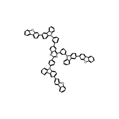 c1cc(-c2ccc3nc(-c4ccc(-n5c6ccccc6c6cc(-c7ccc8c(c7)oc7ccccc78)ccc65)cc4)nc(-c4cccc(-n5c6ccccc6c6cc(-c7ccc8c(c7)oc7ccccc78)ccc65)c4)c3c2)cc(-n2c3ccccc3c3cc(-c4ccc5c(c4)oc4ccccc45)ccc32)c1